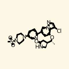 C[C@@H](Oc1cc(-c2ccc(N3CCN(S(C)(=O)=O)CC3)cn2)cn2ncc(Cl)c12)[C@H]1CNC(=O)C1